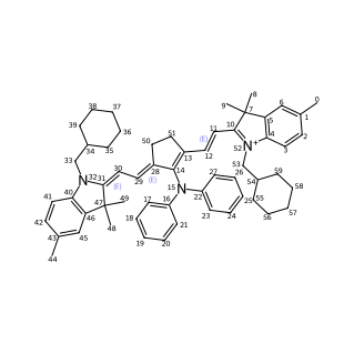 Cc1ccc2c(c1)C(C)(C)C(/C=C/C1=C(N(c3ccccc3)c3ccccc3)C(=C/C=C3/N(CC4CCCCC4)c4ccc(C)cc4C3(C)C)/CC1)=[N+]2CC1CCCCC1